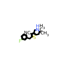 CC1(C)Cc2sc(Cc3cccc(F)c3)c(C#N)c2CN1